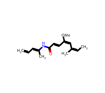 C=C/C=C(\C)NC(=O)/C=C/C(=C\C(C)=C/C)OC